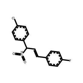 O=[SH](=O)C(C=Cc1ccc(F)cc1)c1ccc(Cl)cc1